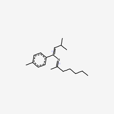 CCCCC/C(C)=N/C(=C\C(C)C)c1ccc(C)cc1